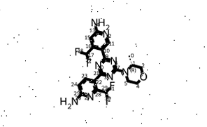 C[C@@H]1COCCN1c1nc(-c2cnc(N)cc2C(F)F)nc(-c2ccc(N)nc2C(F)F)n1